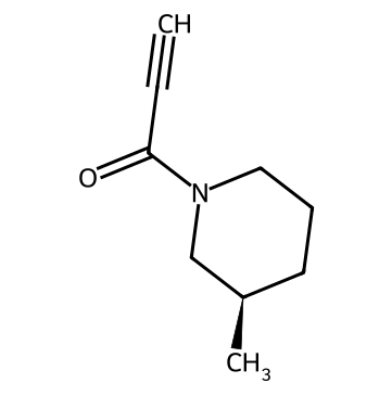 C#CC(=O)N1CCC[C@@H](C)C1